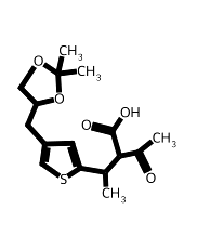 CC(=O)C(C(=O)O)C(C)c1cc(CC2COC(C)(C)O2)cs1